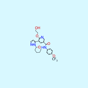 O=C(Nc1ccc(OC(F)(F)F)cc1)c1cnc(OCCO)c(-c2ccnn2C2CCCCO2)c1